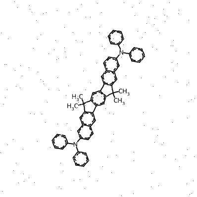 CC1(C)c2cc3c(cc2-c2cc4ccc(N(c5ccccc5)c5ccccc5)cc4cc21)C(C)(C)c1cc2cc(N(c4ccccc4)c4ccccc4)ccc2cc1-3